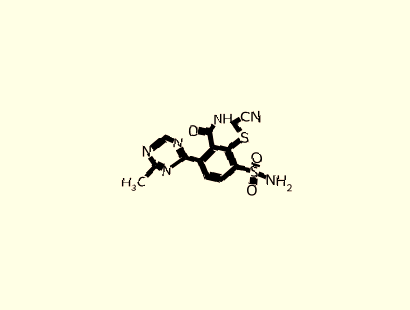 Cc1ncnc(-c2ccc(S(N)(=O)=O)c(SCC#N)c2C(N)=O)n1